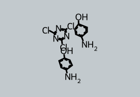 Clc1nc(Cl)nc(Cl)n1.Nc1ccc(O)cc1.Nc1ccc(O)cc1